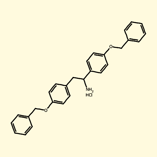 Cl.NC(Cc1ccc(OCc2ccccc2)cc1)c1ccc(OCc2ccccc2)cc1